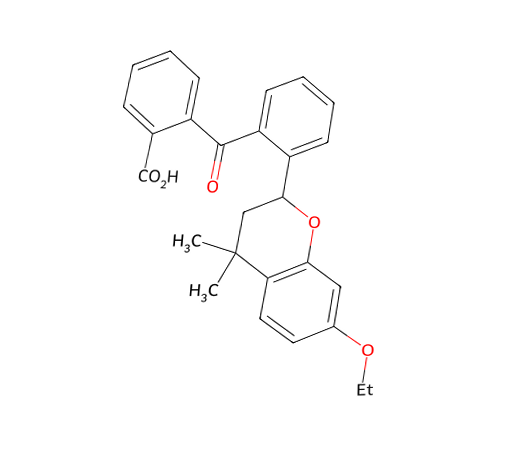 CCOc1ccc2c(c1)OC(c1ccccc1C(=O)c1ccccc1C(=O)O)CC2(C)C